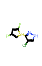 FC1=C[SH](c2n[nH]cc2Cl)C(F)=C1